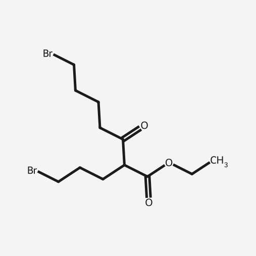 CCOC(=O)C(CCCBr)C(=O)CCCCBr